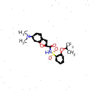 CC(Oc1ccccc1S(=O)(=O)NC(=O)c1cc2ccc(N(C)C)cc2o1)C(F)(F)F